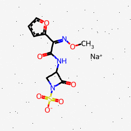 CON=C(C(=O)NC1CN(S(=O)(=O)[O-])C1=O)c1ccco1.[Na+]